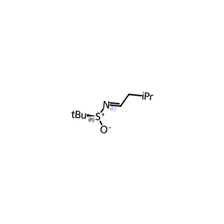 CC(C)C/C=N/[S@@+]([O-])C(C)(C)C